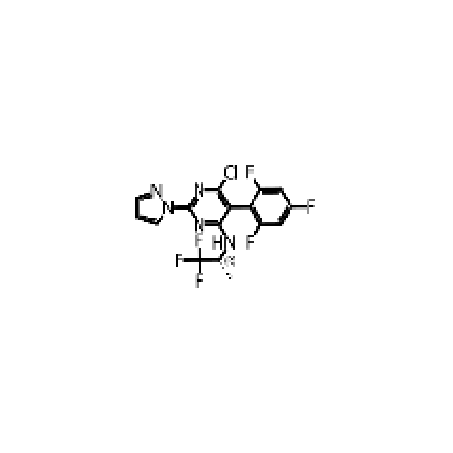 C[C@@H](Nc1nc(-n2cccn2)nc(Cl)c1-c1c(F)cc(F)cc1F)C(F)(F)F